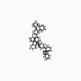 c1ccc(-c2ccccc2N(c2ccc(-c3ccc4c5ccccc5c5ccccc5c4c3)cc2)c2ccc(-c3cccc4c3oc3ccccc34)cc2)cc1